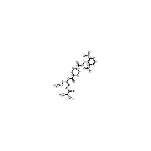 C=C(C)C(=O)OCC(COC)OC(=O)C1CCN(C(=O)OCc2c([N+](=O)[O-])cccc2[N+](=O)[O-])CC1